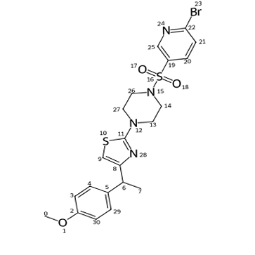 COc1ccc(C(C)c2csc(N3CCN(S(=O)(=O)c4ccc(Br)nc4)CC3)n2)cc1